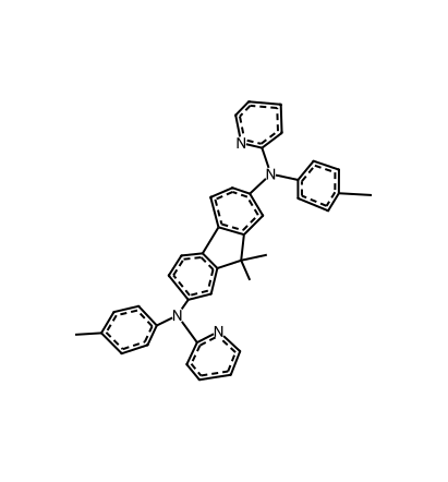 Cc1ccc(N(c2ccc3c(c2)C(C)(C)c2cc(N(c4ccc(C)cc4)c4ccccn4)ccc2-3)c2ccccn2)cc1